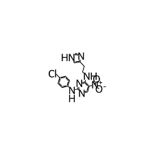 O=[N+]([O-])c1cnc(Nc2ccc(Cl)cc2)nc1NCCc1c[nH]cn1